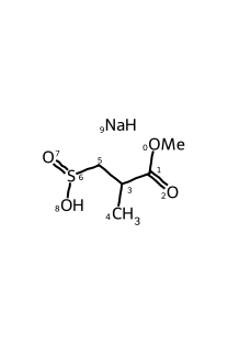 COC(=O)C(C)CS(=O)O.[NaH]